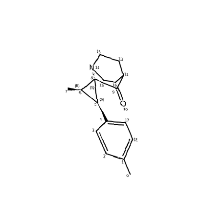 Cc1ccc([C@H]2[C@@H](C)[C@@]23C(=O)C2CCN3CC2)cc1